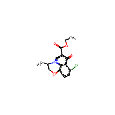 CCOC(=O)c1cn2c3c(ccc(Cl)c3c1=O)OCC2C